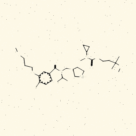 COCCCOc1cc(C(=O)N(C[C@@H]2CNC[C@H]2CN(C(=O)OCCC(C)(C)OC)C2CC2)C(C)C)ccc1C